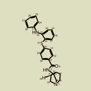 O=C(N[C@H]1CN2CCC1CC2)c1ccc(Sc2ccccc2Nc2ccccc2)cc1